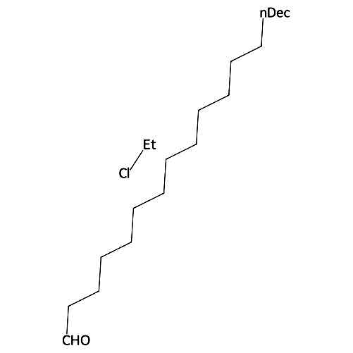 CCCCCCCCCCCCCCCCCCCCCCC=O.CCCl